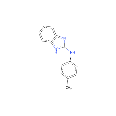 [CH2]c1ccc(Nc2nc3ccccc3[nH]2)cc1